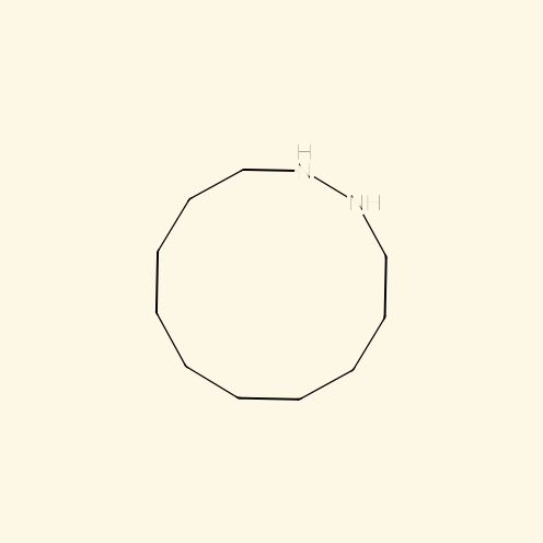 C1CCCCCNNCCCC1